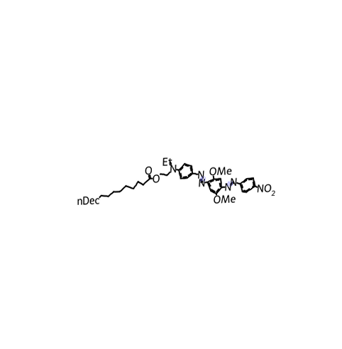 CCCCCCCCCCCCCCCCCCC(=O)OCCN(CC)c1ccc(/N=N/c2cc(OC)c(/N=N/c3ccc([N+](=O)[O-])cc3)cc2OC)cc1